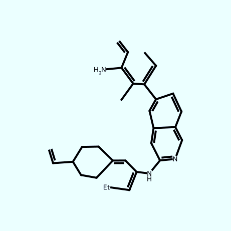 C=C/C(N)=C(C)\C(=C/C)c1ccc2cnc(N/C(C=C3CCC(C=C)CC3)=C/CC)cc2c1